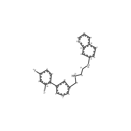 Fc1ccc(-c2cncc(CNCCOc3ccc4cccnc4c3)c2)c(F)c1